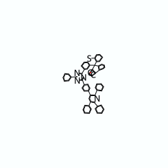 c1ccc(-c2nc(-c3ccc(-c4cc(-c5ccccc5)c(-c5ccccc5)nc4-c4ccccc4)cc3)nc(-c3ccc4c(c3)C3(c5ccccc5S4)c4ccccc4-c4ccccc43)n2)cc1